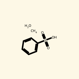 C.O.O=S(=O)(O)c1ccccc1